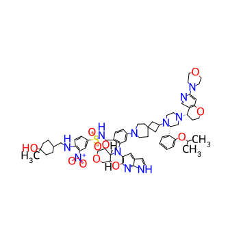 CC(C)Oc1ccccc1[C@H]1CN([C@H]2CCOc3cc(N4CCOCC4)ncc32)CCN1C1CC2(CCN(c3ccc(C(=O)NS(=O)(=O)c4ccc(NCC5CCC(C)(O)CC5)c([N+](=O)[O-])c4)c(N4c5cc6cc[nH]c6nc5O[C@H]5COCC[C@@H]54)c3)CC2)C1